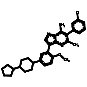 COc1ccc(N2CCC(N3CCCC3)CC2)cc1-c1cnn2c(N)c(-c3cccc(Cl)c3)c(C)nc12